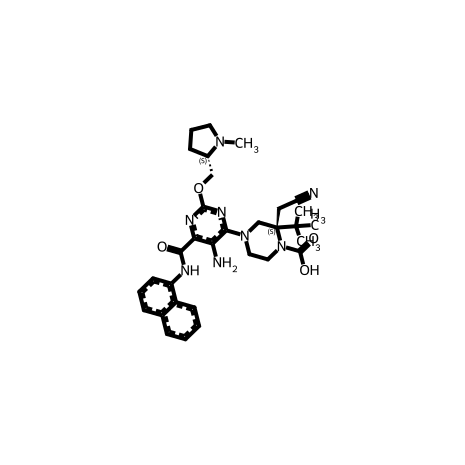 CN1CCC[C@H]1COc1nc(C(=O)Nc2cccc3ccccc23)c(N)c(N2CCN(C(=O)O)[C@@](CC#N)(C(C)(C)C)C2)n1